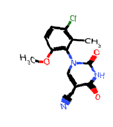 COc1ccc(Cl)c(C)c1-n1cc(C#N)c(=O)[nH]c1=O